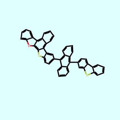 c1ccc2c(c1)oc1c3sc4ccc(-c5c6ccccc6c(-c6ccc7c(c6)sc6ccccc67)c6ccccc56)cc4c3c3ccccc3c21